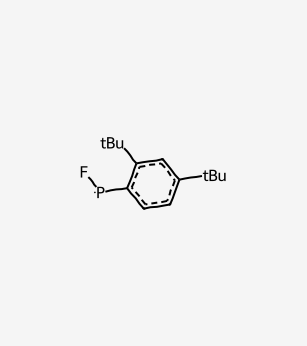 CC(C)(C)c1ccc([P]F)c(C(C)(C)C)c1